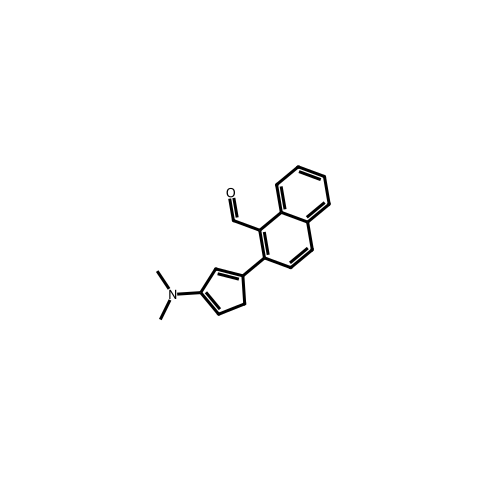 CN(C)C1=CCC(c2ccc3ccccc3c2C=O)=C1